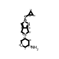 N[C@@H]1COC[C@H](N2Cc3cn(SC4CC4)nc3C2)C1